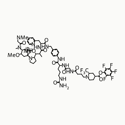 CCC(C)C(C(CC(=O)N1CCCC1C(OC)C(C)C(=O)NC(Cc1ccccn1)C(=O)NCc1ccc(NC(=O)C(CCCNC(N)=O)NC(=O)CNC(=O)CCCN2CCC(C(=O)Oc3c(F)c(F)c(F)c(F)c3F)CC2C(F)(F)F)cc1)OC)N(C)C(=O)CNC